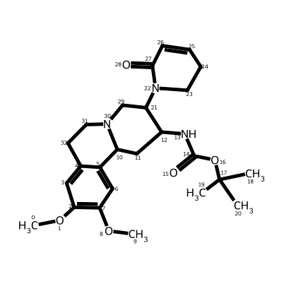 COc1cc2c(cc1OC)C1CC(NC(=O)OC(C)(C)C)C(N3CCC=CC3=O)CN1CC2